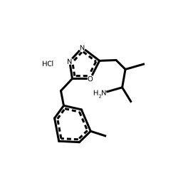 Cc1cccc(Cc2nnc(CC(C)C(C)N)o2)c1.Cl